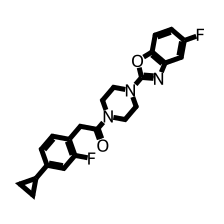 O=C(Cc1ccc(C2CC2)cc1F)N1CCN(c2nc3cc(F)ccc3o2)CC1